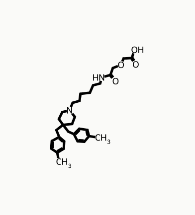 Cc1ccc(CC2(Cc3ccc(C)cc3)CCN(CCCCCCNC(=O)COCC(=O)O)CC2)cc1